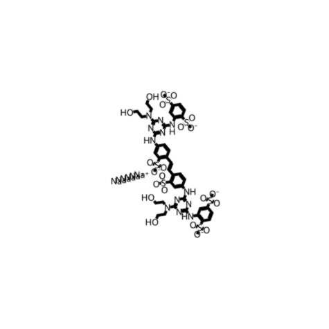 O=S(=O)([O-])c1ccc(S(=O)(=O)[O-])c(Nc2nc(Nc3ccc(/C=C/c4ccc(Nc5nc(Nc6cc(S(=O)(=O)[O-])ccc6S(=O)(=O)[O-])nc(N(CCO)CCO)n5)cc4S(=O)(=O)[O-])c(S(=O)(=O)[O-])c3)nc(N(CCO)CCO)n2)c1.[Na+].[Na+].[Na+].[Na+].[Na+].[Na+]